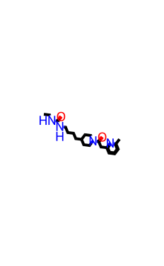 CCNC(=O)NCCCCC1CCN(C(=O)Cc2cccc(C)n2)CC1